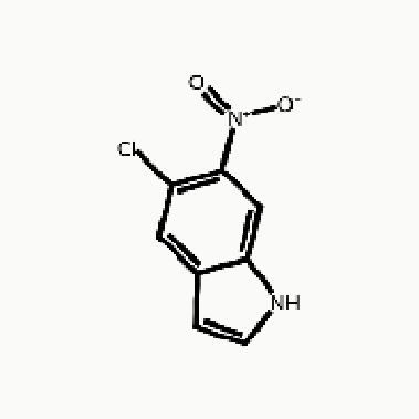 O=[N+]([O-])c1cc2[nH]ccc2cc1Cl